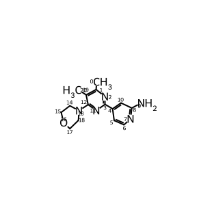 Cc1nc(-c2ccnc(N)c2)nc(N2CCOCC2)c1C